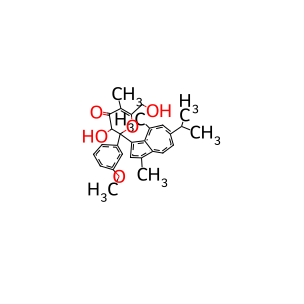 COc1cccc(C2(c3cc(C)c4ccc(C(C)C)cc(C)c3-4)OC(CO)=C(C)C(=O)C2O)c1